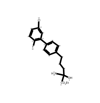 CCOC(=O)C(N)(O)CCCc1ccc(-c2cc(Cl)ccc2F)cc1